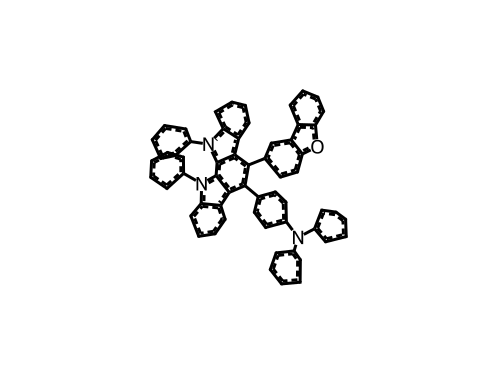 c1ccc(N(c2ccccc2)c2ccc(-c3c(-c4ccc5oc6ccccc6c5c4)c4c5ccccc5n(-c5ccccc5)c4c4c3c3ccccc3n4-c3ccccc3)cc2)cc1